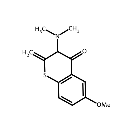 C=C1Sc2ccc(OC)cc2C(=O)C1N(C)C